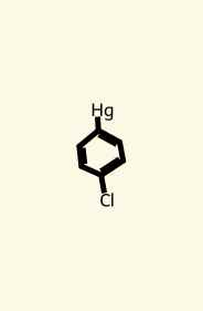 Clc1cc[c]([Hg])cc1